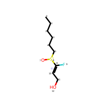 CCCCCC[S+]([O-])/C(F)=C/CO